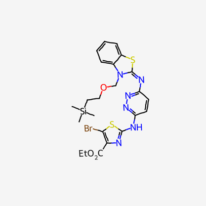 CCOC(=O)c1nc(Nc2ccc(N=c3sc4ccccc4n3COCC[Si](C)(C)C)nn2)sc1Br